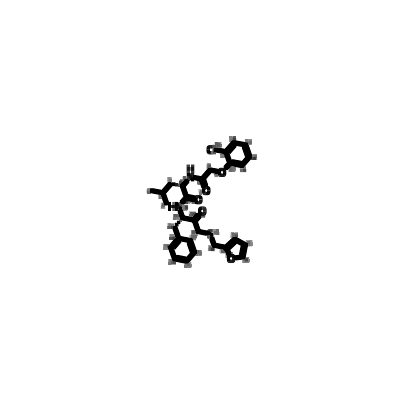 CC(C)C[C@H](NC(=O)COc1ccccc1Cl)C(=O)N[C@@H](Cc1ccccc1)C(=O)CSCc1ccco1